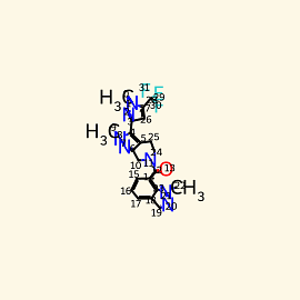 Cn1nc(-c2c3c(nn2C)CN(C(=O)c2cccc4cnn(C)c24)CC3)cc1C(F)(F)F